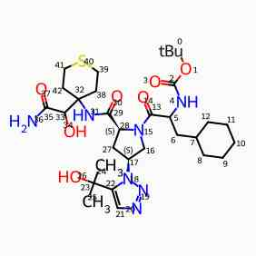 CC(C)(C)OC(=O)NC(CC1CCCCC1)C(=O)N1C[C@@H](n2nncc2C(C)(C)O)C[C@H]1C(=O)NC1(C(O)C(N)=O)CCSCC1